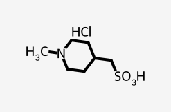 CN1CCC(CS(=O)(=O)O)CC1.Cl